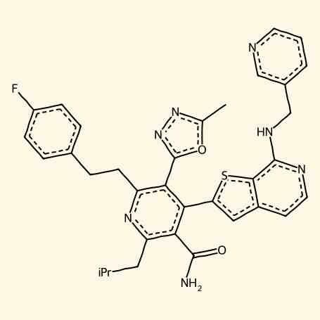 Cc1nnc(-c2c(CCc3ccc(F)cc3)nc(CC(C)C)c(C(N)=O)c2-c2cc3ccnc(NCc4cccnc4)c3s2)o1